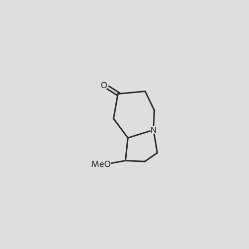 COC1CCN2CCC(=O)CC12